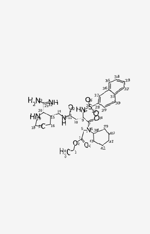 CCOC(=O)CN(C(=O)[C@H](CC(=O)NCC1CCCN[C@@H]1C(=N)N)NS(=O)(=O)c1ccc2ccccc2c1)C1CCCCC1